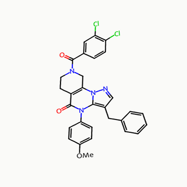 COc1ccc(-n2c(=O)c3c(n4ncc(Cc5ccccc5)c24)CN(C(=O)c2ccc(Cl)c(Cl)c2)CC3)cc1